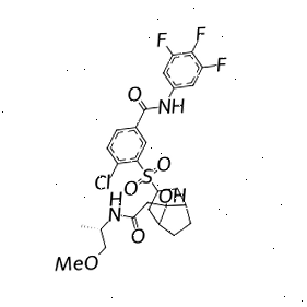 COC[C@H](C)NC(=O)CC1(O)C2CCC1CC(S(=O)(=O)c1cc(C(=O)Nc3cc(F)c(F)c(F)c3)ccc1Cl)C2